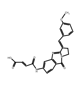 COc1cccc(C=C2CCn3c2nc2cc(NC(=O)C=CC(=O)O)ccc2c3=O)c1